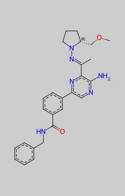 COC[C@H]1CCCN1N=C(C)c1nc(-c2cccc(C(=O)NCc3ccccc3)c2)cnc1N